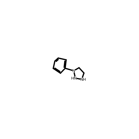 c1ccc(N2CCNN2)cc1